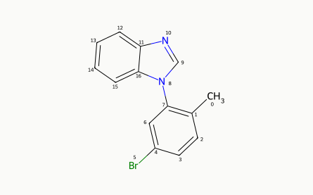 Cc1ccc(Br)cc1-n1cnc2ccccc21